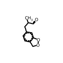 CC(C=O)Cc1ccc2c(c1)OOC2